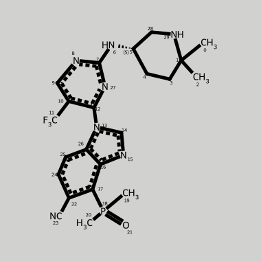 CC1(C)CC[C@H](Nc2ncc(C(F)(F)F)c(-n3cnc4c(P(C)(C)=O)c(C#N)ccc43)n2)CN1